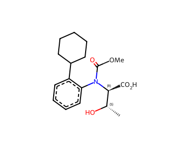 COC(=O)N(c1ccccc1C1CCCCC1)[C@@H](C(=O)O)[C@H](C)O